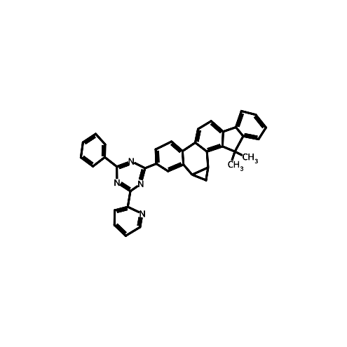 CC1(C)c2ccccc2-c2ccc3c(c21)C1CC1c1cc(-c2nc(-c4ccccc4)nc(-c4ccccn4)n2)ccc1-3